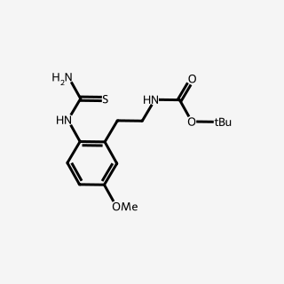 COc1ccc(NC(N)=S)c(CCNC(=O)OC(C)(C)C)c1